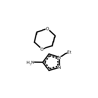 C1COCCO1.CCn1cc(N)cn1